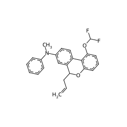 C=CCC1Oc2cccc(OC(F)F)c2-c2ccc(N(C)c3ccccc3)cc21